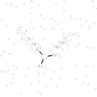 N.N.N.N.O=[N+]([O-])[Co]([N+](=O)[O-])[N+](=O)[O-].[Cl-].[Cl-].[Cl-].[Os+3]